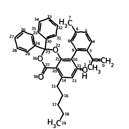 C=C(C)c1ccc(C)cc1-c1c(O)cc(CCCCC)c2c1OC(c1ccccc1)(c1ccccc1)OC2=O